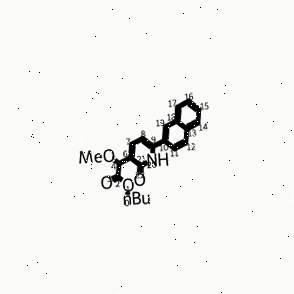 CCCCOC(=O)C(OC)c1ccc(-c2ccc3ccccc3c2)[nH]c1=O